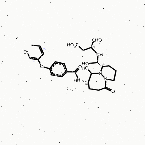 C/C=C\C(=C/CC)Oc1ccc(C(=O)N[C@H]2CCC(=O)N3CCC[C@@H](C(O)N[C@H](C=O)CC(=O)O)N3C2O)cc1